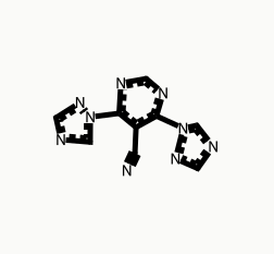 N#Cc1c(-n2cncn2)ncnc1-n1cncn1